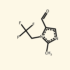 Cc1ncc(C=O)n1CC(F)(F)F